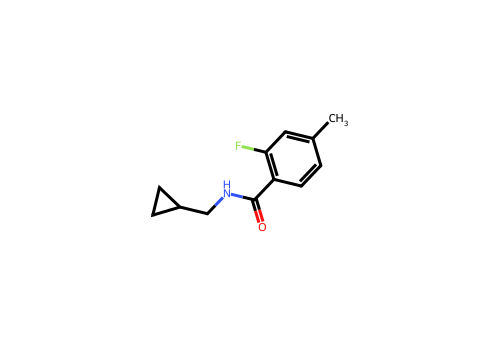 Cc1ccc(C(=O)NCC2CC2)c(F)c1